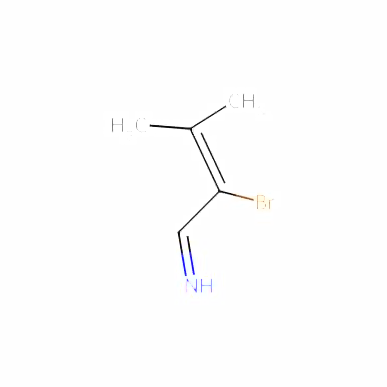 CC(C)=C(Br)C=N